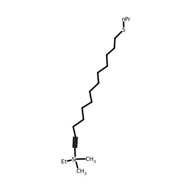 CCCSCCCCCCCCCCCC#C[Si](C)(C)CC